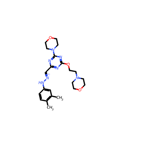 Cc1ccc(N/N=C/c2nc(OCCN3CCOCC3)nc(N3CCOCC3)n2)cc1C